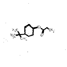 [CH2]CC(=O)OC1CCC(C(C)(C)C)CC1